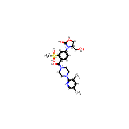 Cc1cnc(N2CCN(C(=O)c3ccc(N4C(=O)OC[C@H]4CO)cc3S(C)(=O)=O)CC2)c(C)c1